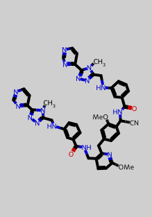 COc1ccc(CNC(=O)c2cccc(NCc3nnc(-c4ccncn4)n3C)c2)c(Cc2ccc(C(C#N)NC(=O)c3cccc(NCc4nnc(-c5ccncn5)n4C)c3)c(OC)c2)n1